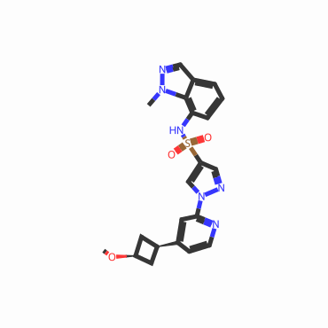 CO[C@H]1C[C@@H](c2ccnc(-n3cc(S(=O)(=O)Nc4cccc5cnn(C)c45)cn3)c2)C1